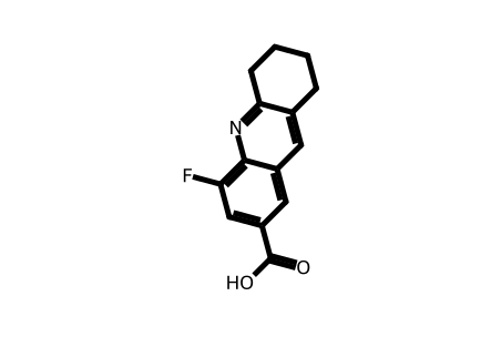 O=C(O)c1cc(F)c2nc3c(cc2c1)CCCC3